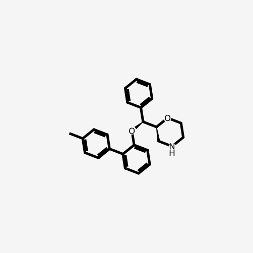 Cc1ccc(-c2ccccc2O[C@@H](c2ccccc2)[C@@H]2CNCCO2)cc1